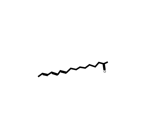 CC=CC=CC=CCCCCCCCC(C)=O